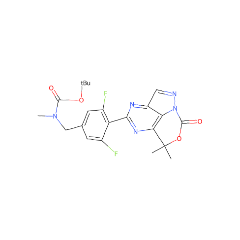 CN(Cc1cc(F)c(-c2nc3c4c(cnn4C(=O)OC3(C)C)n2)c(F)c1)C(=O)OC(C)(C)C